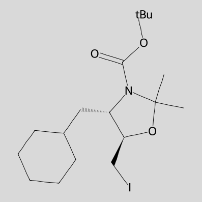 CC(C)(C)OC(=O)N1[C@@H](CC2CCCCC2)[C@H](CI)OC1(C)C